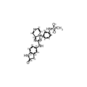 CS(=O)(=O)Nc1cccc([N+]23C=CN=CC2=NC(Nc2ccc4c(c2)CC(=O)N4)=N3)c1